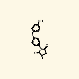 CC1CC(=O)N(c2ccc(Oc3ccc(N)cc3)cc2)C1=O